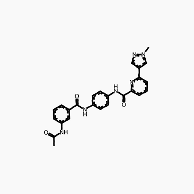 CC(=O)Nc1cccc(C(=O)Nc2ccc(NC(=O)c3cccc(-c4cnn(C)c4)n3)cc2)c1